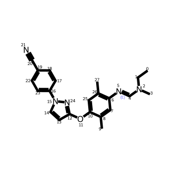 CCN(C)/C=N/c1cc(C)c(Oc2ccn(-c3ccc(C#N)cc3)n2)cc1C